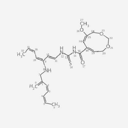 C=C(/C=C\C=C/C)CNC(/C=C/NC(=S)NC(=O)C1=C/COCOC/C(OC)=C\1)=C/C=C\C